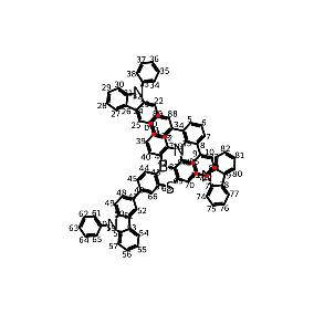 c1ccc(-c2cccc(-c3ccccc3)c2N2c3cc(-c4ccc5c(c4)c4ccccc4n5-c4ccccc4)ccc3B3c4ccc(-c5ccc6c(c5)c5ccccc5n6-c5ccccc5)cc4Sc4cc(-n5c6ccccc6c6ccccc65)cc2c43)cc1